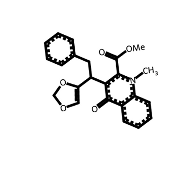 COC(=O)c1c(C(Cc2ccccc2)C2=COCO2)c(=O)c2ccccc2n1C